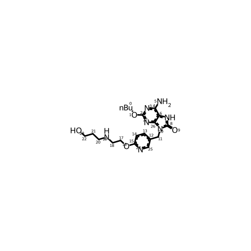 CCCCOc1nc(N)c2[nH]c(=O)n(Cc3ccc(OCCNCCCO)nc3)c2n1